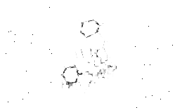 N[C@@H](Cc1ccccc1)CS(=O)(=O)N[C@@H](Cc1ccccc1)C(=O)O